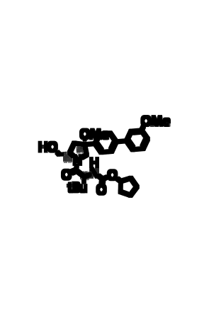 COc1cccc(-c2ccc([C@]3(OC)C[C@@H](CO)N(C(=O)[C@@H](NC(=O)OC4CCCC4)C(C)(C)C)C3)cc2)c1